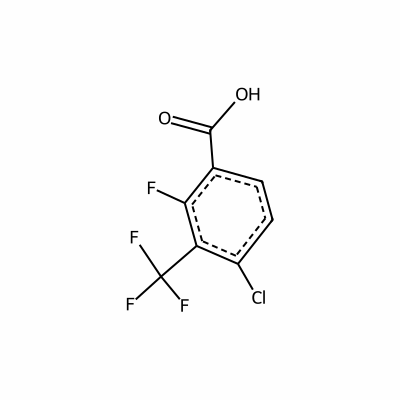 O=C(O)c1ccc(Cl)c(C(F)(F)F)c1F